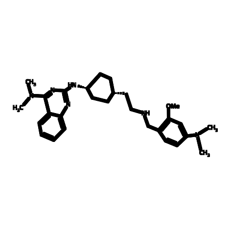 COc1cc(N(C)C)ccc1CNCC[C@H]1CC[C@@H](Nc2nc(N(C)C)c3ccccc3n2)CC1